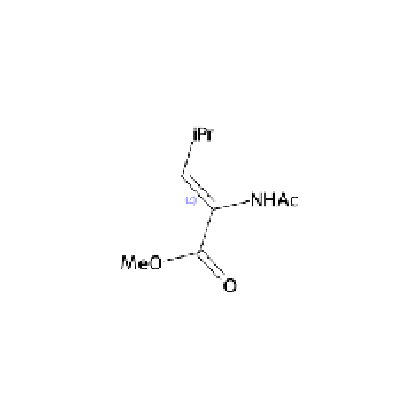 COC(=O)/C(=C/C(C)C)NC(C)=O